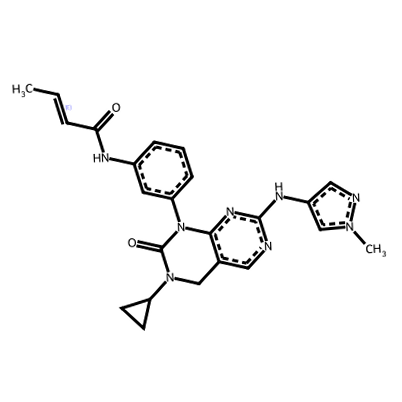 C/C=C/C(=O)Nc1cccc(N2C(=O)N(C3CC3)Cc3cnc(Nc4cnn(C)c4)nc32)c1